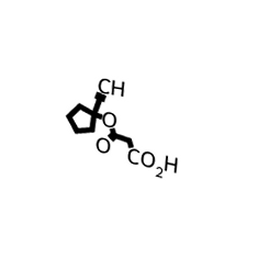 C#CC1(OC(=O)CC(=O)O)CCCC1